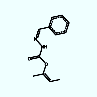 C/C=C(/C)OC(=O)N/N=C\c1ccccc1